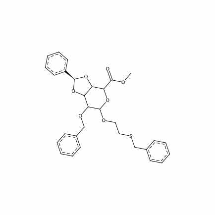 COC(=O)C1OC(OCCSCc2ccccc2)C(OCc2ccccc2)C2O[C@@H](c3ccccc3)OC12